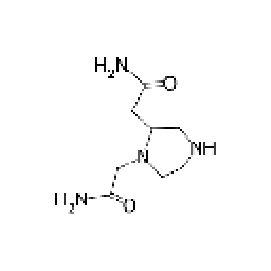 NC(=O)CC1CNCCN1CC(N)=O